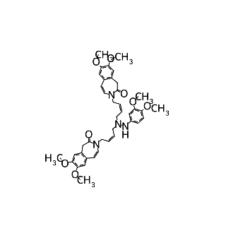 COc1ccc(NN(C/C=C\CN2C=Cc3cc(OC)c(OC)cc3CC2=O)C/C=C\CN2C=Cc3cc(OC)c(OC)cc3CC2=O)cc1OC